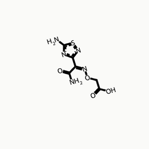 NC(=O)C(=NOCC(=O)O)c1nsc(N)n1